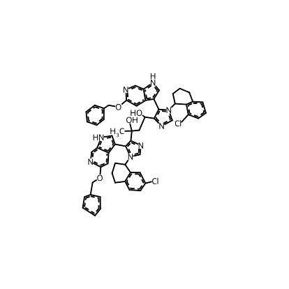 CC(O)(CC(O)c1ncn(C2CCCc3cccc(Cl)c32)c1-c1c[nH]c2cnc(OCc3ccccc3)cc12)c1ncn(C2CCCc3ccc(Cl)cc32)c1-c1c[nH]c2cnc(OCc3ccccc3)cc12